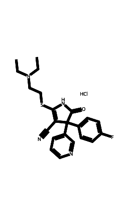 CCN(CC)CCSC1=C(C#N)C(c2ccc(F)cc2)(c2cccnc2)C(=O)N1.Cl